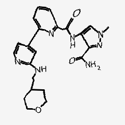 Cn1cc(NC(=O)c2cccc(-c3ccnc(NCC4CCOCC4)c3)n2)c(C(N)=O)n1